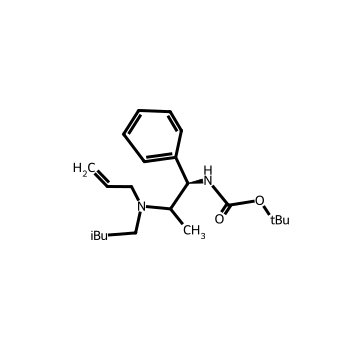 C=CCN(CC(C)CC)C(C)[C@H](NC(=O)OC(C)(C)C)c1ccccc1